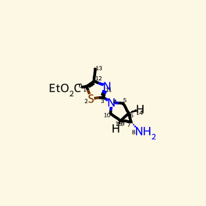 CCOC(=O)c1sc(N2C[C@@H]3[C@H](N)[C@@H]3C2)nc1C